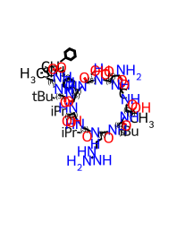 CC[C@H](C)[C@@H]1NC(=O)[C@@H](CCCNC(=N)N)NC(=O)[C@H](CC(C)C)NC(=O)[C@H]([C@H](O)C(C)C)NC(=O)[C@@H](NC(=O)[C@H](CC(C)(C)C)NC[C@H](C[Si](C)(C)C)NC(=O)OCc2ccccc2)[C@@H](c2ccccc2)NC(=O)[C@H](CO)NC(=O)[C@H]([C@H](O)C(N)=O)NC(=O)CNC(=O)[C@H]([C@H](C)O)NC1=O